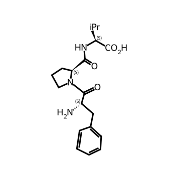 CC(C)[C@H](NC(=O)[C@@H]1CCCN1C(=O)[C@@H](N)Cc1ccccc1)C(=O)O